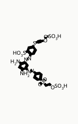 Nc1cc(N)c(N=Nc2ccc(SC#COOS(=O)(=O)O)cc2S(=O)(=O)O)cc1N=Nc1ccc(S(=O)(=O)CCOS(=O)(=O)O)cc1